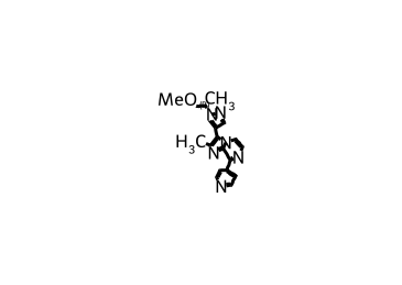 COC[C@@H](C)n1cc(-c2c(C)nc3c(-c4ccncc4)nccn23)cn1